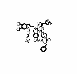 COc1ccc(CN(Cc2cc3cc(Cl)c(Cl)cc3n2COCC[Si](C)(C)C)c2nc(N3CCN(C(=O)OCc4ccccc4)CC3)nc3c(-c4cnn(C)c4)cnn23)cc1